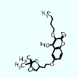 CCCCOc1c(O)c2cc(OCCC3COC(C)(C)O3)ccc2oc1=O